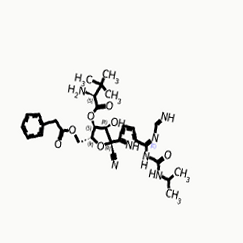 CC(C)NC(=O)N/C(=N/C=N)c1ccc([C@]2(C#N)O[C@H](COC(=O)Cc3ccccc3)[C@@H](OC(=O)[C@@H](N)C(C)(C)C)[C@H]2O)[nH]1